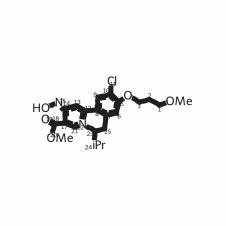 COCCCOc1cc2c(cc1Cl)-c1c/c(=N/O)c(C(=O)OC)cn1C(C(C)C)C2